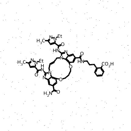 CCn1nc(C)cc1C(=O)Nc1nc2cc(C(N)=O)cc3c2n1C/C=C/Cn1c(NC(=O)c2cc(C)nn2CC)nc2cc(C(=O)NCCCc4ccccc4C(=O)O)cc(c21)OCCCO3